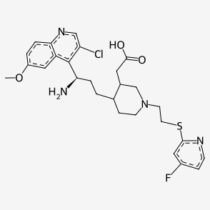 COc1ccc2ncc(Cl)c([C@H](N)CCC3CCN(CCSc4cc(F)ccn4)CC3CC(=O)O)c2c1